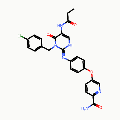 CCC(=O)Nc1c[nH]/c(=N\c2ccc(Oc3ccc(C(N)=O)nc3)cc2)n(Cc2ccc(Cl)cc2)c1=O